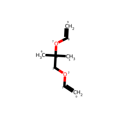 C=COCC(C)(C)OC=C